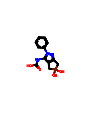 O=C(O)Nc1c2c(nn1-c1ccccc1)CS(O)(O)C2